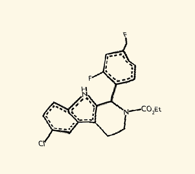 CCOC(=O)N1CCc2c([nH]c3ccc(Cl)cc23)C1c1ccc(F)cc1F